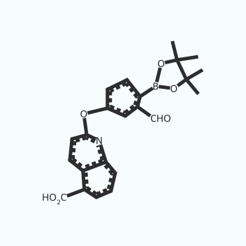 CC1(C)OB(c2ccc(Oc3ccc4c(C(=O)O)cccc4n3)cc2C=O)OC1(C)C